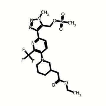 CCOC(=O)CC1CCCN(c2ccc(-c3nnn(C)c3COS(C)(=O)=O)nc2C(F)(F)F)C1